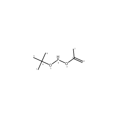 C=C(C)OPOC(C)(C)C